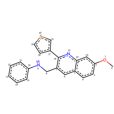 COc1ccc2cc(CNc3ccccc3)c(-c3ccsc3)nc2c1